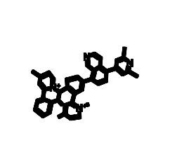 Cc1cc[n+](C)c(-c2cc(-c3ccc(-c4cc(C)nc(C)c4)c4ccncc34)ccc2C2C(C)c3ccccc3-c3cc(C)cc[n+]32)c1